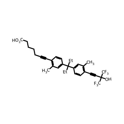 CCC(CC)(c1ccc(C#CCCCCC(=O)O)c(C)c1)c1ccc(C#CC(O)(C(F)(F)F)C(F)(F)F)c(C)c1